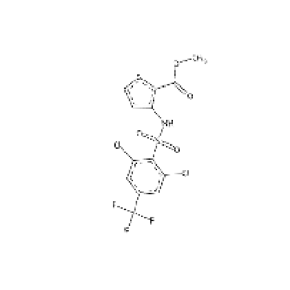 COC(=O)c1sccc1NS(=O)(=O)c1c(Cl)cc(C(F)(F)F)cc1Cl